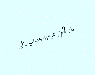 CCC(=O)CCOCCOCCOCCOCCNC(=O)CCC(C)=O